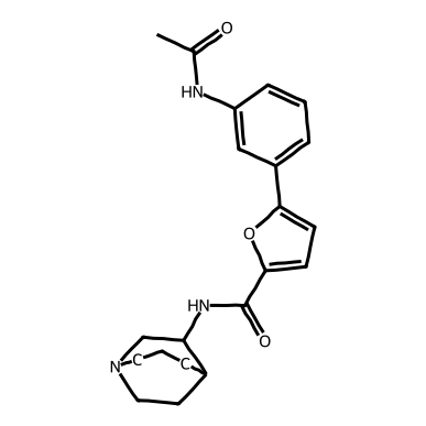 CC(=O)Nc1cccc(-c2ccc(C(=O)NC3CN4CCCC3CC4)o2)c1